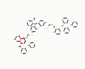 Cc1cc(C)c(C(C)(C)CC(=O)Nc2ccc3c(c2)Oc2cc(NC(=O)CC(C)(C)c4c(C)cc(C)cc4OC(=O)c4ccccc4P(c4ccccc4)c4ccccc4)ccc2C32OC(=O)c3ccccc32)c(OC(=O)c2ccccc2P(c2ccccc2)c2ccccc2)c1